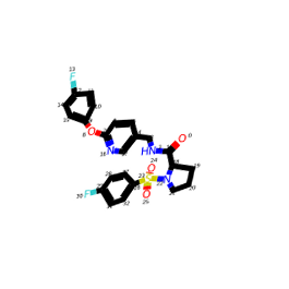 O=C(NCc1ccc(Oc2ccc(F)cc2)nc1)C1CCCN1S(=O)(=O)c1ccc(F)cc1